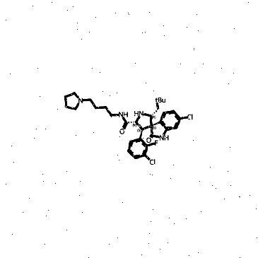 CC(C)(C)C[C@H]1N[C@@H](C(=O)NCCCCN2CCCC2)[C@H](c2cccc(Cl)c2F)[C@@]12C(=O)Nc1cc(Cl)ccc12